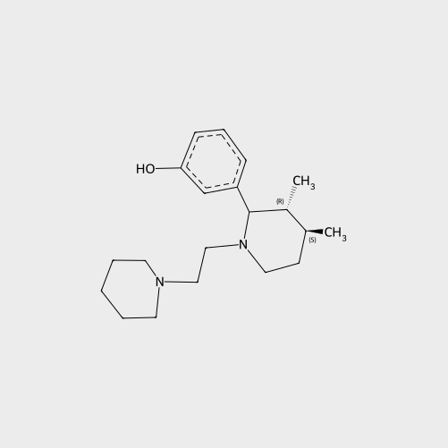 C[C@H]1CCN(CCN2CCCCC2)C(c2cccc(O)c2)[C@@H]1C